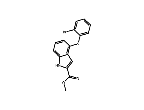 COC(=O)c1cc2c(Sc3ccccc3Br)cccc2[nH]1